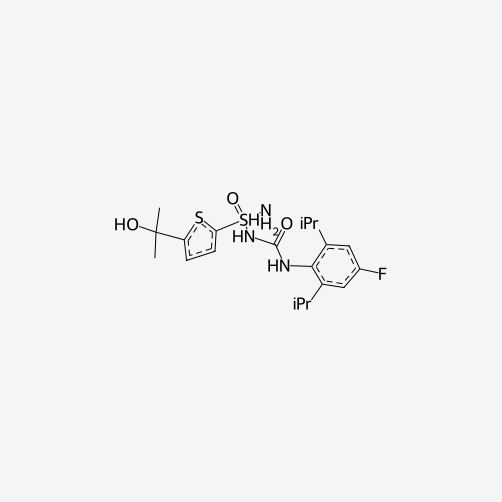 CC(C)c1cc(F)cc(C(C)C)c1NC(=O)N[SH](N)(=O)c1ccc(C(C)(C)O)s1